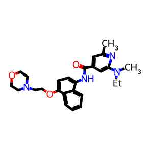 CCN(C)c1cc(C(=O)Nc2ccc(OCCN3CCOCC3)c3ccccc23)cc(C)n1